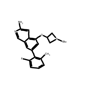 Cc1cccc(F)c1-c1cc(OC2CN(C(C)(C)C)C2)c2cc(N)ncc2c1